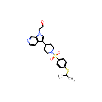 CC(C)Sc1ccc(S(=O)(=O)N2CCC(c3cn(CC=O)c4cnccc34)CC2)cc1